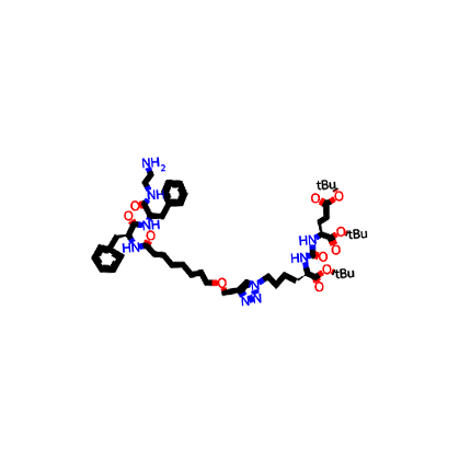 CC(C)(C)OC(=O)CC[C@H](NC(=O)N[C@@H](CCCCn1cc(COCCCCCCCC(=O)N[C@@H](Cc2ccccc2)C(=O)NC(Cc2ccccc2)C(=O)NCCN)nn1)C(=O)OC(C)(C)C)C(=O)OC(C)(C)C